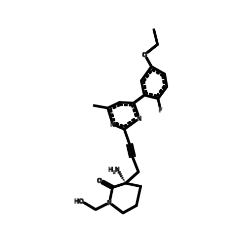 CCOc1ccc(F)c(-c2cc(C)nc(C#CC[C@@]3(N)CCCN(CO)C3=O)n2)c1